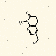 CC(=O)Cc1cnc2c(c1)CCC(=O)N2C